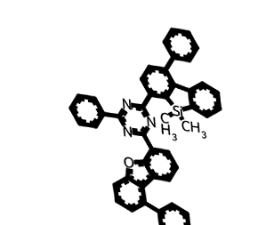 C[Si]1(C)c2ccccc2-c2c(-c3ccccc3)ccc(-c3nc(-c4ccccc4)nc(-c4cccc5c4oc4cccc(-c6ccccc6)c45)n3)c21